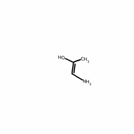 C/C(O)=C\N